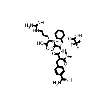 CN(C)C(=O)C(Cc1ccc(C(=N)N)cc1)C(=O)N[C@@H](CC1CCCCC1)C(=O)N[C@@H](CCCNC(=N)N)C(=O)O.O=C(O)C(F)(F)F